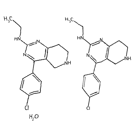 CCNc1nc2c(c(-c3ccc(Cl)cc3)n1)CNCC2.CCNc1nc2c(c(-c3ccc(Cl)cc3)n1)CNCC2.O